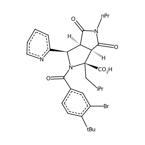 CCCN1C(=O)[C@H]2[C@@H](C1=O)[C@@](CC(C)C)(C(=O)O)N(C(=O)c1ccc(C(C)(C)C)c(Br)c1)[C@H]2c1ccccn1